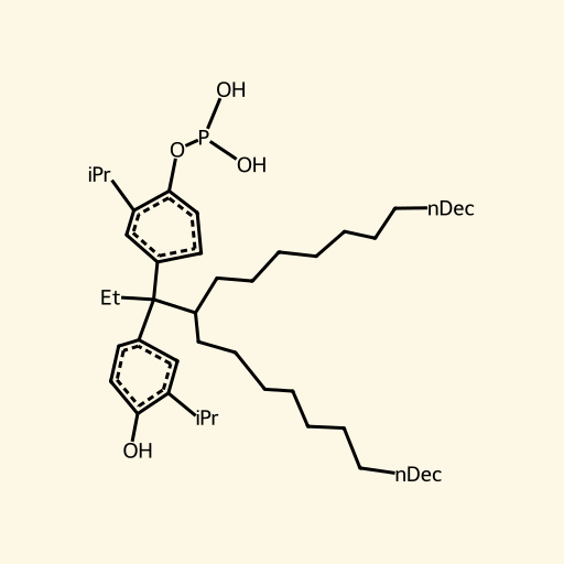 CCCCCCCCCCCCCCCCCC(CCCCCCCCCCCCCCCCC)C(CC)(c1ccc(O)c(C(C)C)c1)c1ccc(OP(O)O)c(C(C)C)c1